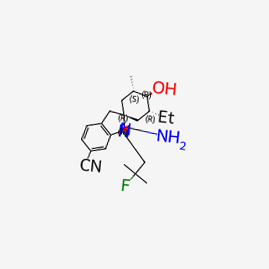 CC[C@@H]1C[C@@]2(Cc3ccc(C#N)cc3[C@]23N=C(N)C(CC(C)(C)F)=N3)C[C@H](C)[C@H]1O